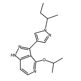 CCC(C)n1cc(-c2n[nH]c3ccnc(OC(C)C)c23)cn1